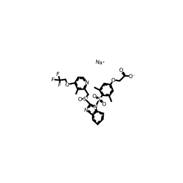 Cc1cc(OCC(=O)[O-])cc(C)c1S(=O)(=O)n1c([S+]([O-])Cc2nccc(OCC(F)(F)F)c2C)nc2ccccc21.[Na+]